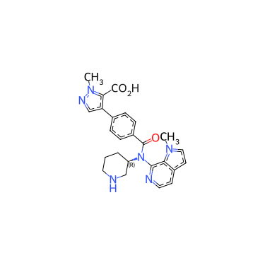 Cn1ncc(-c2ccc(C(=O)N(c3nccc4ccn(C)c34)[C@@H]3CCCNC3)cc2)c1C(=O)O